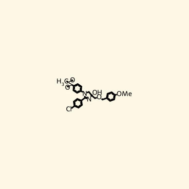 COc1ccc(COCC2(O)CN(c3ccc(S(C)(=O)=O)cc3)C(c3ccc(Cl)cc3)=N2)cc1